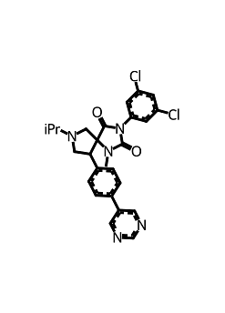 CC(C)N1CC(c2ccc(-c3cncnc3)cc2)C2(C1)C(=O)N(c1cc(Cl)cc(Cl)c1)C(=O)N2C